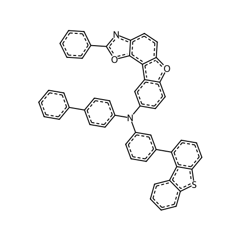 c1ccc(-c2ccc(N(c3cccc(-c4cccc5sc6ccccc6c45)c3)c3ccc4oc5ccc6nc(-c7ccccc7)oc6c5c4c3)cc2)cc1